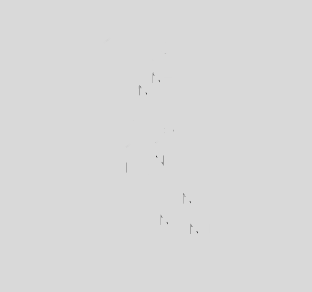 CCNc1ncc2c(n1)CN(C(=O)c1cc(Cc3n[nH]c(=O)c4ccccc34)ccc1F)C2